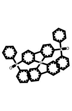 O=P(c1ccccc1)(c1ccccc1)c1ccc2c(c1)[Si]1(c3ccccc3-c3ccccc31)c1cc(P(=O)(c3ccccc3)c3ccccc3)ccc1-2